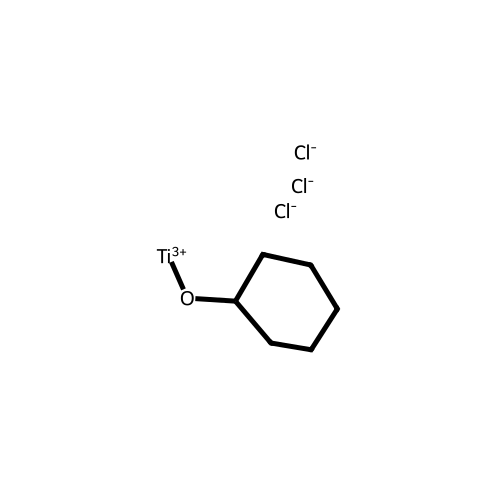 [Cl-].[Cl-].[Cl-].[Ti+3][O]C1CCCCC1